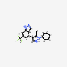 Cc1c(-c2cc(C(F)(F)F)cc3[nH]ncc23)cnn1-c1ccccc1